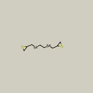 C(C[Se]CC1CS1)[Se]CC1CS1